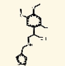 COc1cc(F)c(C(O)CNCc2ccsc2)cc1OC